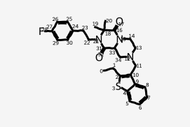 CCc1sc2ccccc2c1CN1CCN2C(=O)C(C)(C)N(CCc3ccc(F)cc3)C(=O)C2C1